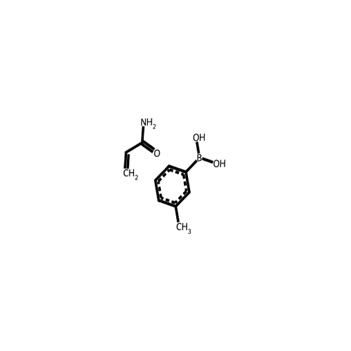 C=CC(N)=O.Cc1cccc(B(O)O)c1